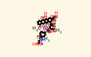 COc1cccc2c1C(=O)c1c(O)c3c(c(O)c1C2=O)C[C@@](O)(C(=O)CO)C[C@@H]3C1C2C(NC(=O)O[C@@H]3/C=C/CC[C@](C)(C(=O)NCC(=O)O)CC3)[C@@H](O)C(C)O[C@H]21